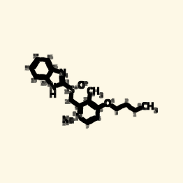 CCCCOc1ccnc(C[S+]([O-])c2nc3ccccc3[nH]2)c1C.[Na]